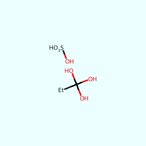 CCC(O)(O)O.O=S(=O)(O)O